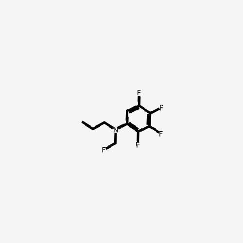 CCCN(CF)c1cc(F)c(F)c(F)c1F